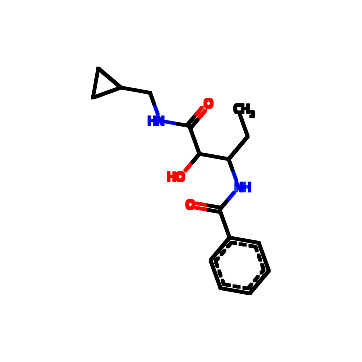 CCC(NC(=O)c1ccccc1)C(O)C(=O)NCC1CC1